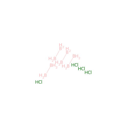 BB.BB.BB.BB.Cl.Cl.Cl.Cl